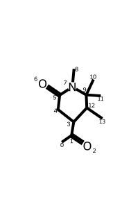 CC(=O)C1CC(=O)N(C)C(C)(C)C1C